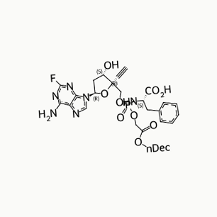 C#C[C@]1(CO[P@](=O)(N[C@@H](Cc2ccccc2)C(=O)O)OCC(=O)OCCCCCCCCCC)O[C@@H](n2cnc3c(N)nc(F)nc32)C[C@@H]1O